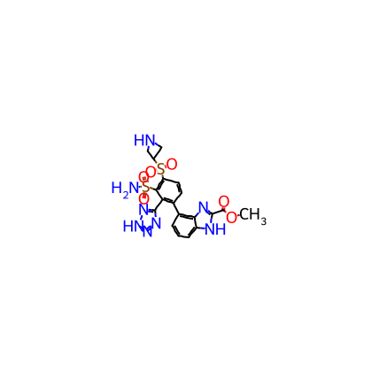 COC(=O)c1nc2c(-c3ccc(S(=O)(=O)C4CNC4)c(S(N)(=O)=O)c3-c3nn[nH]n3)cccc2[nH]1